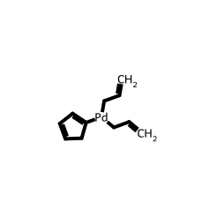 C=C[CH2][Pd]([CH2]C=C)[C]1=CC=CC1